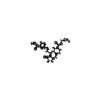 CCOC(=O)N1CCN(C[C@H]2CCC(=O)N2CCSc2nc(C(=O)O)cs2)CC1